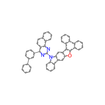 c1ccc(-c2cccc(-c3nc(-n4c5ccccc5c5cc6oc7c8ccccc8c8ccccc8c7c6cc54)nc4c3ccc3ccccc34)c2)cc1